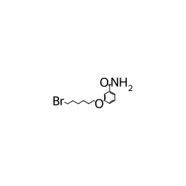 NC(=O)c1cccc(OCCCCCCBr)c1